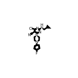 N#Cc1c(Cl)nc(NCC2CC2)nc1N1CCN(c2ccc(F)cc2)CC1